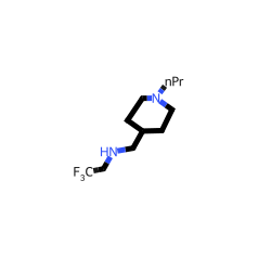 CCCN1CCC(CNCC(F)(F)F)CC1